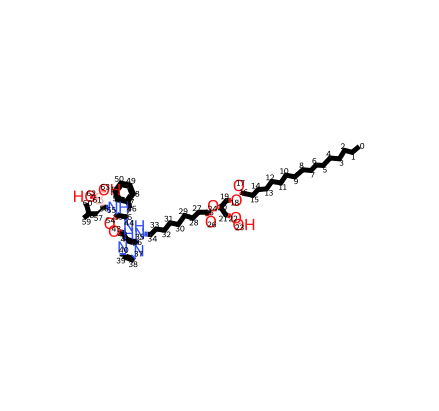 CCCCCCCCCCCCCCCCC(=O)OCC(COO)OC(=O)CCCCCCCCNc1nccnc1C(=O)N[C@@H](Cc1ccccc1)C(=O)N[C@@H](CC(C)C)B(O)O